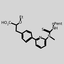 CCCCCNC(=S)N(C)c1cccc(-c2ccc(CC(OCC)C(=O)O)cc2)n1